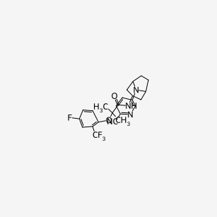 CC(C)(Oc1ccc(F)cc1C(F)(F)F)C(=O)NC1CC2CCC(C1)N2c1ccc(C#N)nc1